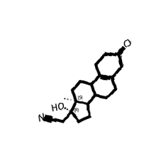 C[C@]12CCC3C4=C(CCC3C1CC[C@@]2(O)CC#N)CC(=O)CC4